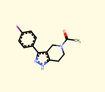 CC(=O)N1CCc2[nH]nc(-c3ccc(I)cc3)c2C1